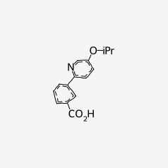 CC(C)Oc1ccc(-c2cccc(C(=O)O)c2)nc1